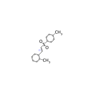 Cc1ccc(S(=O)(=O)/C=C/c2ccccc2C)cc1